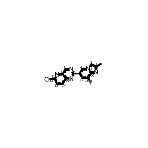 Cc1cn2cc(-c3ncc4nc(Cl)ccc4n3)cc(F)c2n1